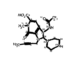 CC#CCN1c2c(cc(C(=O)O)n(C)c2=O)N(NC(=O)C(F)(F)F)C1N1CCNCC1